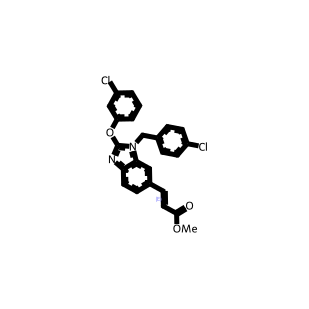 COC(=O)/C=C/c1ccc2nc(Oc3cccc(Cl)c3)n(Cc3ccc(Cl)cc3)c2c1